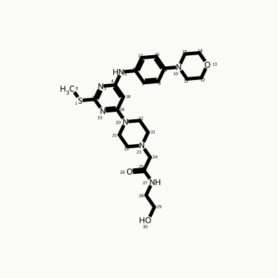 CSc1nc(Nc2ccc(N3CCOCC3)cc2)cc(N2CCN(CC(=O)NCCO)CC2)n1